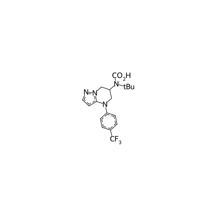 CC(C)(C)N(C(=O)O)C1CN(c2ccc(C(F)(F)F)cc2)c2ccnn2C1